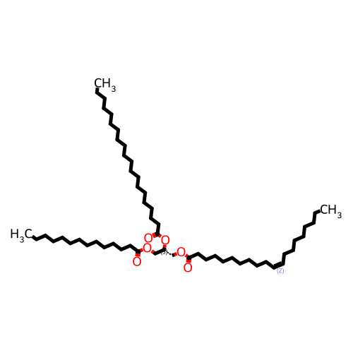 CCCCCCCC/C=C\CCCCCCCCCC(=O)OC[C@H](COC(=O)CCCCCCCCCCCCC)OC(=O)CCCCCCCCCCCCCCCCCCC